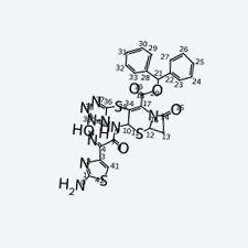 Nc1nc(/C(=N/O)C(=O)NC2SC3CC(=O)N3C(C(=O)OC(c3ccccc3)c3ccccc3)=C2Sc2nnn[nH]2)cs1